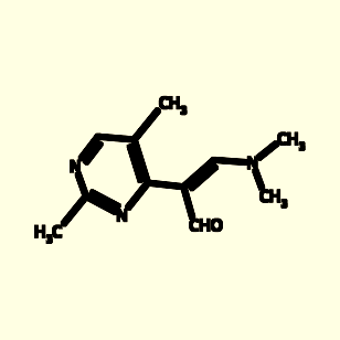 Cc1ncc(C)c(C(C=O)=CN(C)C)n1